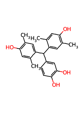 Cc1cc(C(c2ccc(O)c(O)c2)c2cc(C)c(O)cc2C)c(C)cc1O